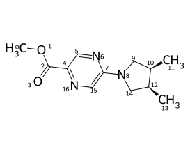 COC(=O)c1cnc(N2C[C@@H](C)[C@@H](C)C2)cn1